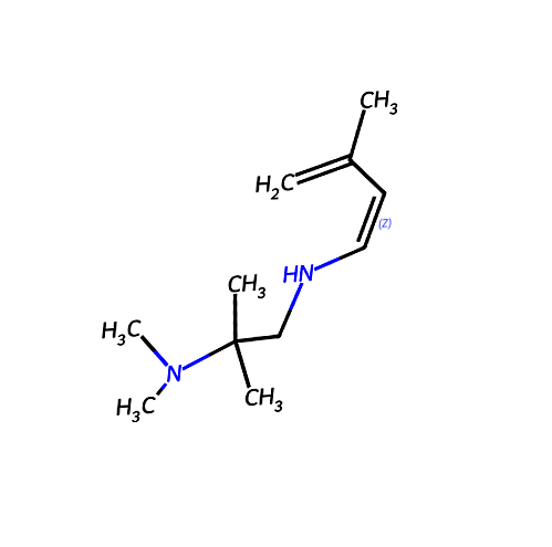 C=C(C)/C=C\NCC(C)(C)N(C)C